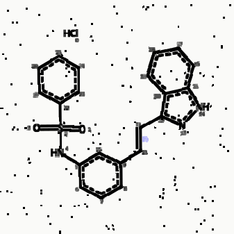 Cl.O=S(=O)(Nc1cccc(/C=C/c2n[nH]c3ccccc23)c1)c1ccccc1